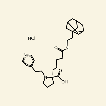 Cl.O=C(CCCC[C@]1(C(=O)O)CCCN1CCc1ccncc1)[N]CCC12CC3CC(CC(C3)C1)C2